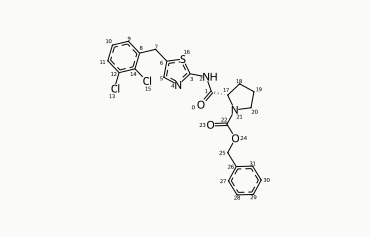 O=C(Nc1ncc(Cc2cccc(Cl)c2Cl)s1)[C@@H]1CCCN1C(=O)OCc1ccccc1